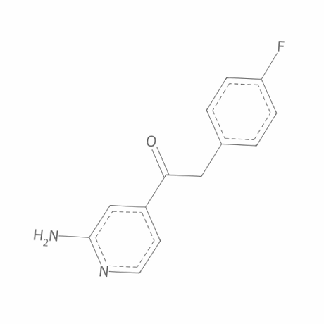 Nc1cc(C(=O)Cc2ccc(F)cc2)ccn1